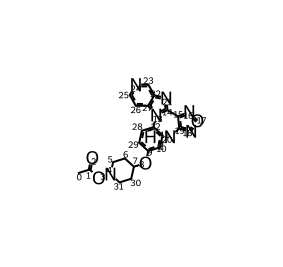 CC(=O)ON1CCC(Oc2ccc(-n3c(-c4nonc4N)nc4cnccc43)cc2)CC1